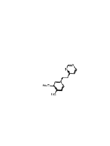 COc1cc(CCc2ccncn2)ccc1O